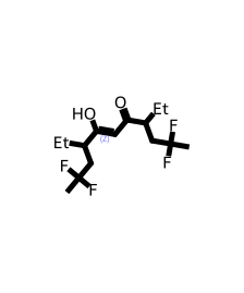 CCC(CC(C)(F)F)C(=O)/C=C(\O)C(CC)CC(C)(F)F